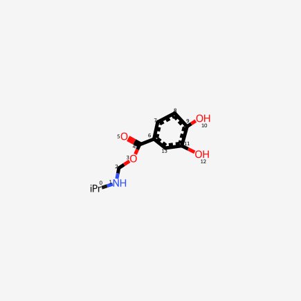 CC(C)NCOC(=O)c1ccc(O)c(O)c1